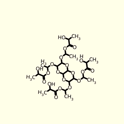 CC(OC(=O)C(C)O)OC1OC2OC(OC(C)OC(=O)C(C)O)C(OC(C)OC(=O)C(C)O)OC2OC1OC(C)OC(=O)C(C)O